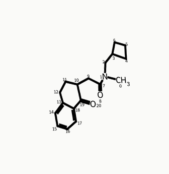 CN(CC1CCC1)C(=O)CC1CCc2ccccc2C1=O